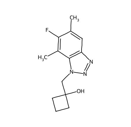 Cc1cc2nnn(CC3(O)CCC3)c2c(C)c1F